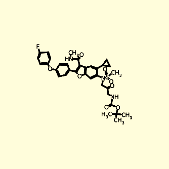 CNC(=O)c1c(-c2ccc(Oc3ccc(F)cc3)cc2)oc2cc(N(CC(=O)CNC(=O)OC(C)(C)C)S(C)(=O)=O)c(C3CC3)cc12